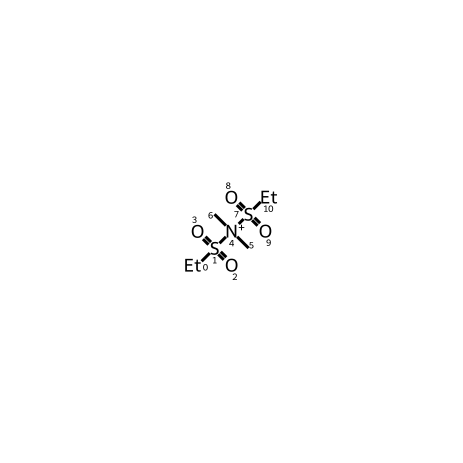 CCS(=O)(=O)[N+](C)(C)S(=O)(=O)CC